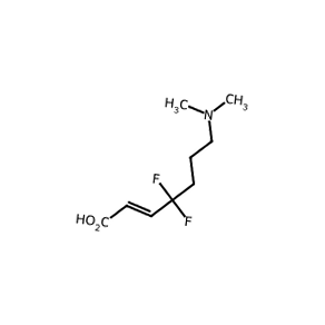 CN(C)CCCC(F)(F)C=CC(=O)O